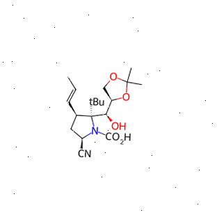 CC=C[C@@H]1C[C@H](C#N)N(C(=O)O)[C@@]1([C@H](O)[C@H]1COC(C)(C)O1)C(C)(C)C